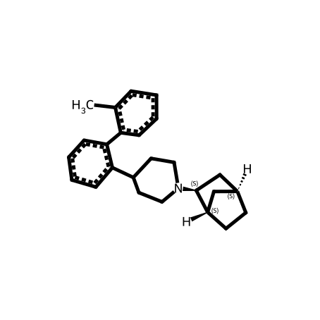 Cc1ccccc1-c1ccccc1C1CCN([C@H]2C[C@H]3CC[C@H]2C3)CC1